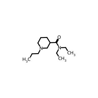 CCCN1CCCC(C(=O)N(CC)CC)C1